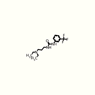 CCN(CC)CCCNC(=O)Nc1cccc(C(F)(F)F)c1